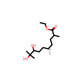 CCOC(=O)C(C)CC[C@H](C)CCC(O)C(C)(C)O